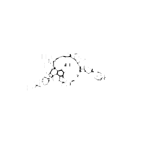 C/C1=C/C=C/C(C)[C@H](O)CC(O)C[C@H](OC(=O)CC(=O)N2CCCN(C)CC2)CC/C=C/O[C@@]2(C)Oc3c(C)c(O)c4c(c3C2=O)C2=NC3(CCN(CC(C)C)CC3)NC2=C(NC1=O)C4=O